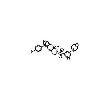 CC[C@]12Cc3cnn(-c4ccc(F)cc4)c3C=C1CCN(S(=O)(=O)c1cncc(N3CCOCC3)c1)C2